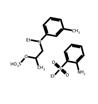 CCN(CC(C)OS(=O)(=O)O)c1cccc(C)c1.CCS(=O)(=O)c1ccccc1N